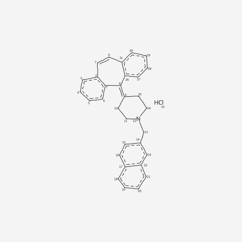 C1=Cc2ccccc2C(=C2CCN(Cc3ccc4ccccc4c3)CC2)c2ccccc21.Cl